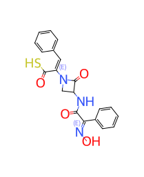 O=C(S)/C(=C\c1ccccc1)N1CC(NC(=O)/C(=N/O)c2ccccc2)C1=O